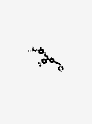 Cc1cc(OC/C=C(/c2ccc(C#CCN3CCOCC3)cc2)c2ccc([S+](C)[O-])cc2)ccc1OCC(=O)O